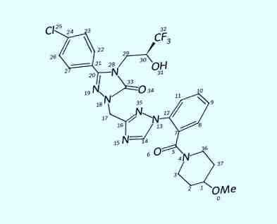 COC1CCN(C(=O)c2ccccc2-n2cnc(Cn3nc(-c4ccc(Cl)cc4)n(C[C@H](O)C(F)(F)F)c3=O)n2)CC1